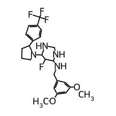 COc1cc(CNC2NCNC(N3CCCC3c3ccc(C(F)(F)F)cc3)C2F)cc(OC)c1